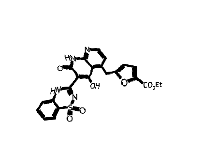 CCOC(=O)c1ccc(Cc2ccnc3[nH]c(=O)c(C4=NS(=O)(=O)c5ccccc5N4)c(O)c23)o1